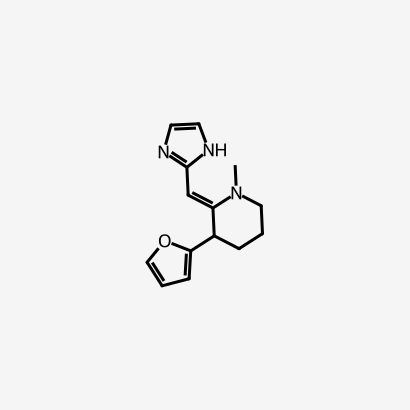 CN1CCCC(c2ccco2)C1=Cc1ncc[nH]1